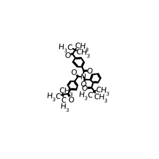 CC(C)(C)C(=O)c1ccc(C(=O)N(C(=O)c2ccc(C(=O)C(C)(C)C)cc2)C(=O)c2ccccc2C(=O)C(C)(C)C)cc1